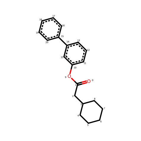 O=C(CC1CCCCC1)Oc1cccc(-c2ccccc2)c1